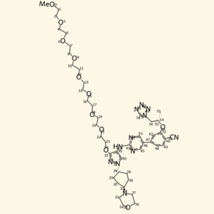 COCCOCCOCCOCCOCCOCCOCCOCCOc1nn([C@H]2CC[C@H](N3CCOCC3)CC2)cc1Nc1ncc(-c2ccc(C#N)c(O[C@@H](C)Cn3cnnn3)c2)cn1